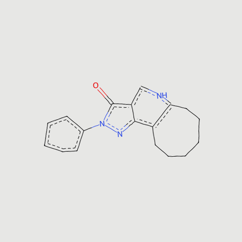 O=c1c2c[nH]c3c(c-2nn1-c1ccccc1)CCCCCC3